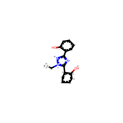 Oc1ccccc1-c1nc(-c2ccccc2O)n(CC(F)(F)F)n1